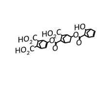 O=C(OC1CC2CC1C(C(=O)O)C2C(=O)OC1=CC2CC1C(C(=O)O)C2C(=O)O)C1C2C=CC(C2)C1O